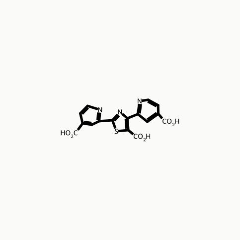 O=C(O)c1ccnc(-c2nc(-c3cc(C(=O)O)ccn3)c(C(=O)O)s2)c1